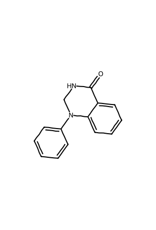 O=C1NCN(c2ccccc2)c2ccccc21